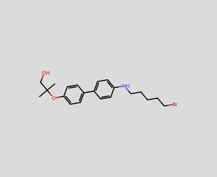 CC(C)(CO)Oc1ccc(-c2ccc(NCCCCCBr)cc2)cc1